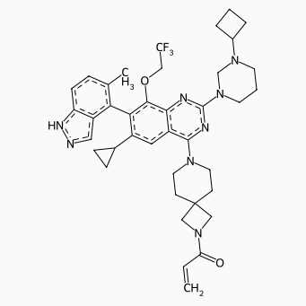 C=CC(=O)N1CC2(CCN(c3nc(N4CCCN(C5CCC5)C4)nc4c(OCC(F)(F)F)c(-c5c(C)ccc6[nH]ncc56)c(C5CC5)cc34)CC2)C1